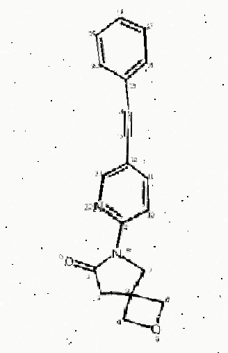 O=C1CC2(COC2)CN1c1ccc(C#Cc2ccccc2)cn1